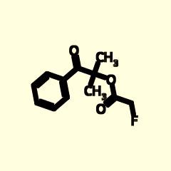 CC(C)(OC(=O)CF)C(=O)c1ccccc1